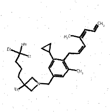 C=C/C=C(C)\C=C/Cc1c(C)cc(CN2CC(CC)(CCCC(CC)(CC)CCC)C2)cc1C1CC1